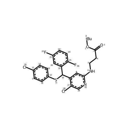 CC(C)(C)OC(=O)CCNc1cc(C(Sc2ccc(Cl)cc2)c2cc(F)ccc2F)c(Cl)cn1